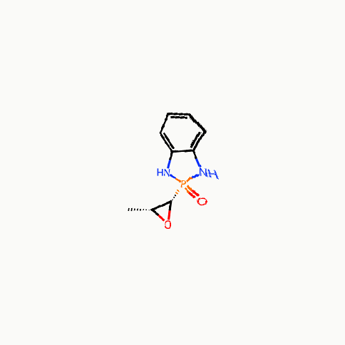 C[C@H]1O[C@H]1P1(=O)Nc2ccccc2N1